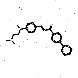 CN(C)CCN(C)c1ccc(/C=C/C(=O)c2ccc(-c3ccccn3)cc2)cc1